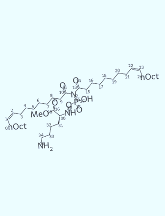 CCCCCCCC/C=C\CCCCCCCC(=O)N(C(=O)CCCCCCC/C=C\CCCCCCCC)P(=O)(O)ON[C@@H](CCCCN)C(=O)OC